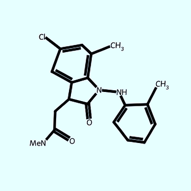 CNC(=O)CC1C(=O)N(Nc2ccccc2C)c2c(C)cc(Cl)cc21